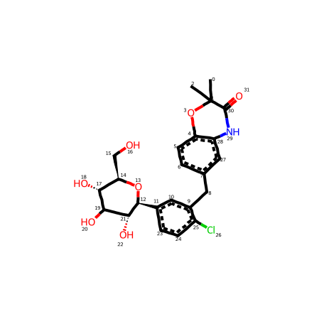 CC1(C)Oc2ccc(Cc3cc([C@@H]4O[C@H](CO)[C@@H](O)C(O)[C@H]4O)ccc3Cl)cc2NC1=O